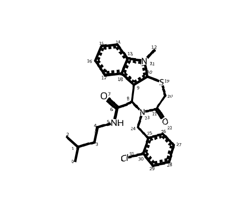 CC(C)CCNC(=O)C1c2c(n(C)c3ccccc23)SCC(=O)N1Cc1ccccc1Cl